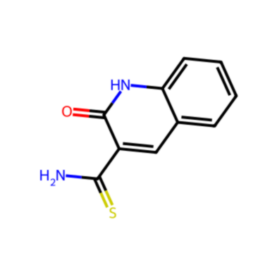 NC(=S)c1cc2ccccc2[nH]c1=O